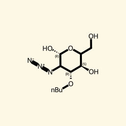 CCCCO[C@@H]1C(N=[N+]=[N-])[C@H](O)OC(CO)[C@H]1O